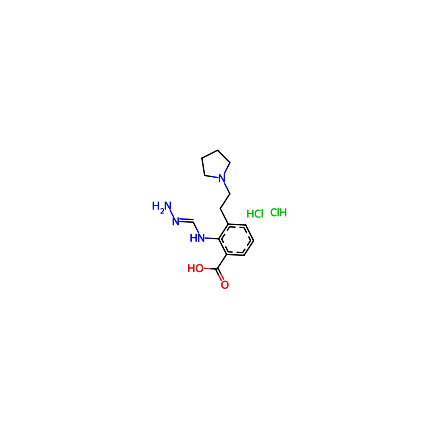 Cl.Cl.NN=CNc1c(CCN2CCCC2)cccc1C(=O)O